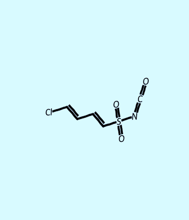 O=C=NS(=O)(=O)/C=C/C=C/Cl